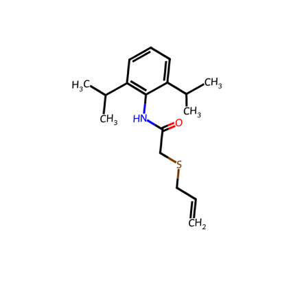 C=CCSCC(=O)Nc1c(C(C)C)cccc1C(C)C